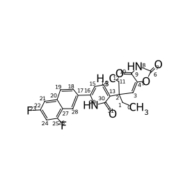 CCC(/C=C1/OC(=O)NC1=O)(CC)c1ccc(-c2ccc3cc(F)cc(F)c3c2)[nH]c1=O